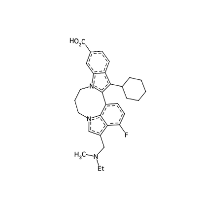 CCN(C)Cc1cn2c3c(ccc(F)c13)-c1c(C3CCCCC3)c3ccc(C(=O)O)cc3n1CCC2